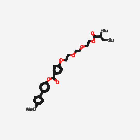 COc1ccc(-c2ccc(OC(=O)c3ccc(OCCOCCOCCOC(=O)C(CC(C)(C)C)C(C)(C)C)cc3)cc2)cc1